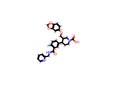 O=C(NCc1ccccn1)c1cc(C2CCN(C(=O)O)CC2COc2ccc3c(c2)OCO3)ccc1F